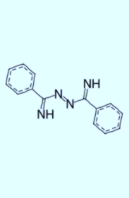 N=C(N=NC(=N)c1ccccc1)c1ccccc1